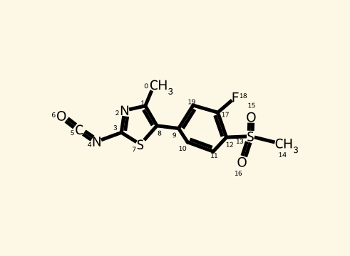 Cc1nc(N=C=O)sc1-c1ccc(S(C)(=O)=O)c(F)c1